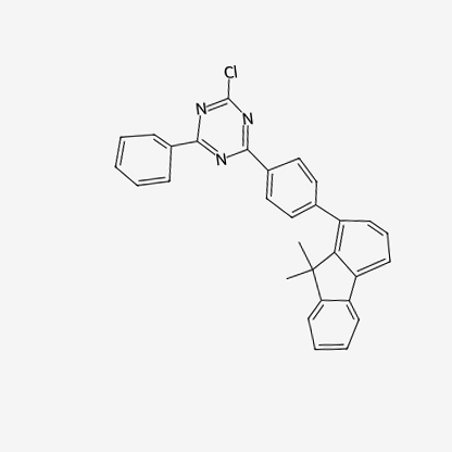 CC1(C)c2ccccc2-c2cccc(-c3ccc(-c4nc(Cl)nc(-c5ccccc5)n4)cc3)c21